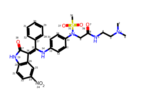 CN(C)CCNC(=O)CN(c1ccc(NC(=C2C(=O)Nc3ccc([N+](=O)[O-])cc32)c2ccccc2)cc1)S(C)(=O)=O